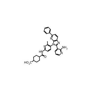 Cc1nc(NC(=O)C2CCC(C(=O)O)CC2)ccc1-n1c(-c2cccnc2N)nc2ccc(-c3ccccc3)nc21